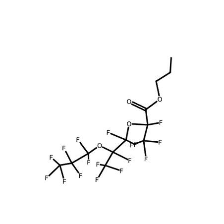 CCCOC(=O)C(F)(OC(F)(F)C(F)(OC(F)(F)C(F)(F)C(F)(F)F)C(F)(F)F)C(F)(F)F